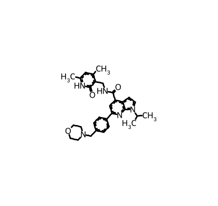 Cc1cc(C)c(CNC(=O)c2cc(-c3ccc(CN4CCOCC4)cc3)nc3c2ccn3C(C)C)c(=O)[nH]1